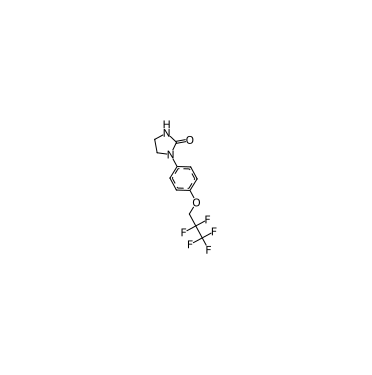 O=C1NCCN1c1ccc(OCC(F)(F)C(F)(F)F)cc1